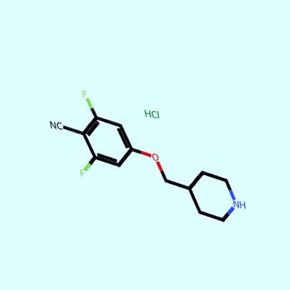 Cl.N#Cc1c(F)cc(OCC2CCNCC2)cc1F